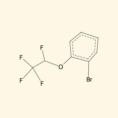 FC(Oc1ccccc1Br)C(F)(F)F